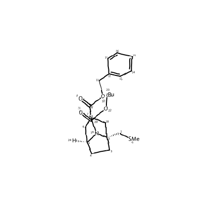 CSC[C@@]12CC[C@@H](CN(C(=O)OCc3ccccc3)C1)N2C(=O)OC(C)(C)C